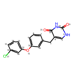 O=c1[nH]cc(Cc2cccc(Oc3cccc(Cl)c3)c2)c(=O)[nH]1